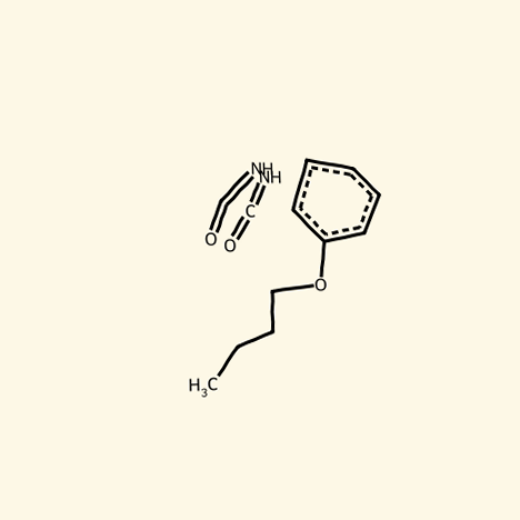 CCCCOc1ccccc1.N=C=O.N=C=O